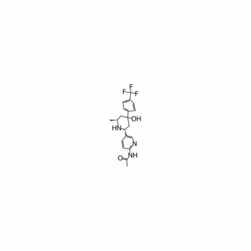 CC(=O)Nc1ccc([C@@H]2CC(O)(c3ccc(C(F)(F)F)cc3)C[C@H](C)N2)cn1